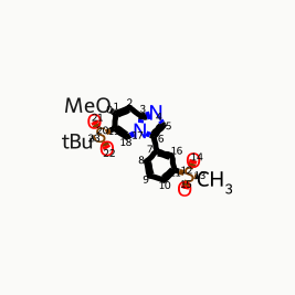 COc1cc2ncc(-c3cccc(S(C)(=O)=O)c3)n2cc1S(=O)(=O)C(C)(C)C